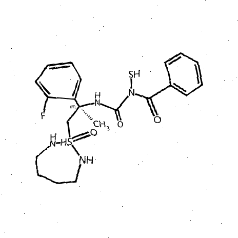 C[C@@](C[SH]1(=O)NCCCCN1)(NC(=O)N(S)C(=O)c1ccccc1)c1ccccc1F